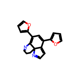 C1=NC2=C(c3ccco3)C=C(c3ccco3)C3=CC=NC32CC1